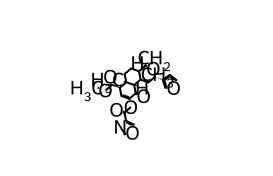 C=C1O[C@H](c2ccoc2)C[C@]2(C)[C@H]3C(=O)C(OC(=O)c4cocn4)=C[C@@H](C(=O)OC)[C@]3(C)CC[C@@H]12